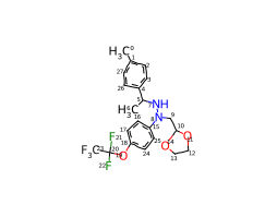 Cc1ccc(C(C)NN(CC2OCCO2)c2ccc(OC(F)(F)C(F)(F)F)cc2)cc1